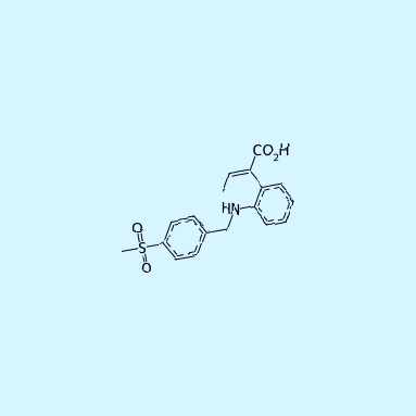 C/C=C(/C(=O)O)c1ccccc1NCc1ccc(S(C)(=O)=O)cc1